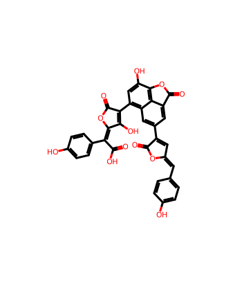 O=C1O/C(=C\c2ccc(O)cc2)C=C1c1cc2c3c(c(O)cc(C4=C(O)/C(=C(\C(=O)O)c5ccc(O)cc5)OC4=O)c3c1)OC2=O